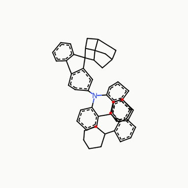 c1ccc(N(c2ccc3c(c2)C2(c4ccccc4-3)C3CC4CC5CC2C53C4)c2cccc3ccccc23)c(-c2cccc3cccc(C4CCCCC4)c23)c1